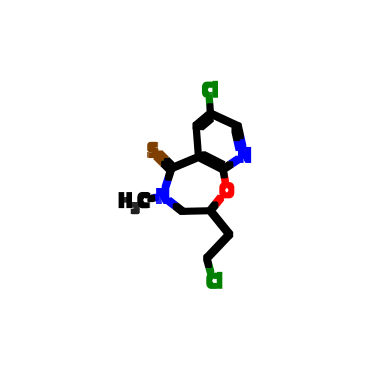 CN1CC(CCCl)Oc2ncc(Cl)cc2C1=S